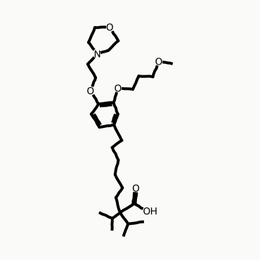 COCCCOc1cc(CCCCCCC(C(=O)O)(C(C)C)C(C)C)ccc1OCCN1CCOCC1